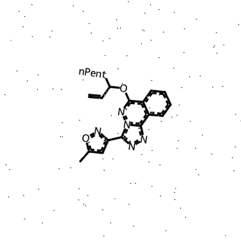 C=CC(CCCCC)Oc1nn2c(-c3cc(C)on3)nnc2c2ccccc12